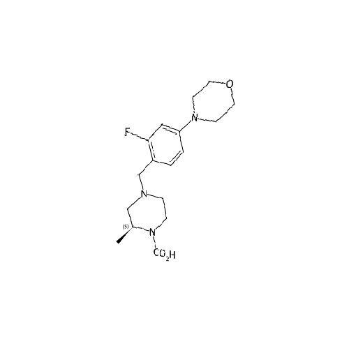 C[C@H]1CN(Cc2ccc(N3CCOCC3)cc2F)CCN1C(=O)O